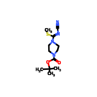 CSC(=NC#N)N1CCN(C(=O)OC(C)(C)C)CC1